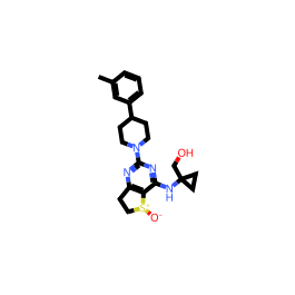 Cc1cccc(C2CCN(c3nc4c(c(NC5(CO)CC5)n3)[S+]([O-])CC4)CC2)c1